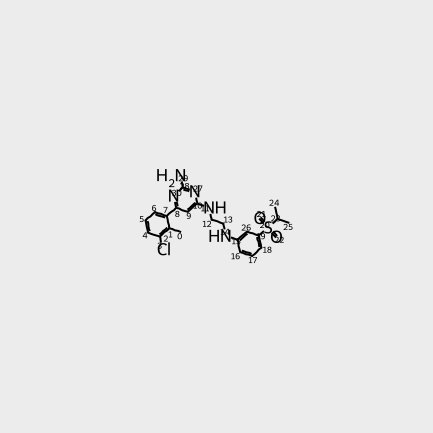 Cc1c(Cl)cccc1-c1cc(NCCNc2cccc(S(=O)(=O)C(C)C)c2)nc(N)n1